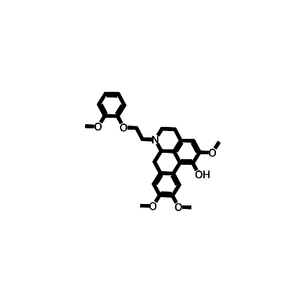 COc1cc2c(cc1OC)-c1c(O)c(OC)cc3c1C(C2)N(CCOc1ccccc1OC)CC3